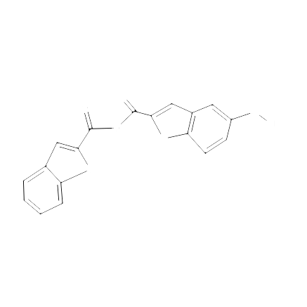 COc1ccc2oc(C(=O)OC(=O)c3cc4ccccc4s3)cc2c1